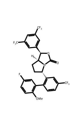 COc1ccc(F)cc1-c1ccc(C(F)(F)F)cc1[C@@H]1CC[C@H]2[C@@H](c3cc(C(F)(F)F)cc(C(F)(F)F)c3)OC(=O)N12